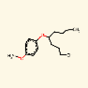 CCCCC(CCCC)Oc1ccc(O[SiH3])cc1